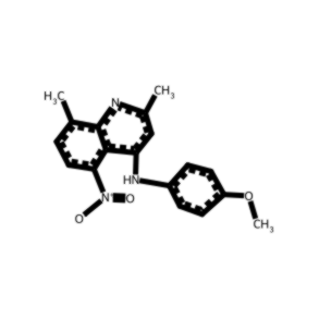 COc1ccc(Nc2cc(C)nc3c(C)ccc([N+](=O)[O-])c23)cc1